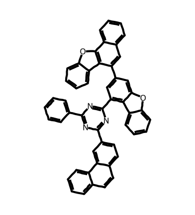 c1ccc(-c2nc(-c3ccc4ccc5ccccc5c4c3)nc(-c3cc(-c4cc5ccccc5c5oc6ccccc6c45)cc4oc5ccccc5c34)n2)cc1